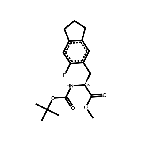 COC(=O)[C@H](Cc1cc2c(cc1F)CCC2)NC(=O)OC(C)(C)C